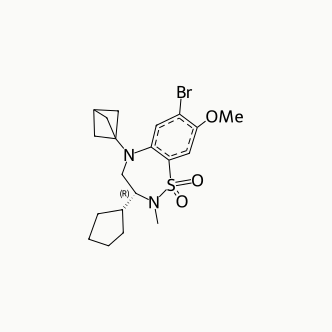 COc1cc2c(cc1Br)N(C13CC(C1)C3)C[C@@H](C1CCCC1)N(C)S2(=O)=O